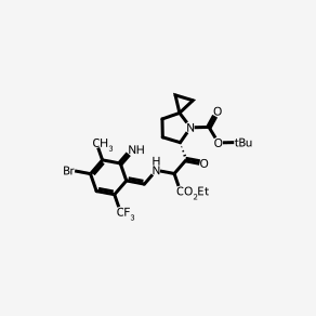 CCOC(=O)C(N/C=C1\C(=N)C(C)=C(Br)C=C1C(F)(F)F)C(=O)[C@@H]1CCC2(CC2)N1C(=O)OC(C)(C)C